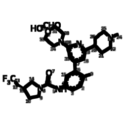 Cc1ccc(NC(=O)N2CC[C@@H](CC(F)(F)F)C2)cc1-c1cc(C2CCN(C)CC2)nc(N2CCOCC2)c1.O=CO